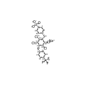 O=S(=O)([O-])c1ccc(Sc2c(Cl)c(Cl)c(Sc3ccc(C(F)(F)F)cc3)c(Cl)c2Cl)cc1.[Na+]